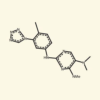 CNc1nc(Nc2ccc(C)c(-n3cnnn3)c2)ncc1N(C)C